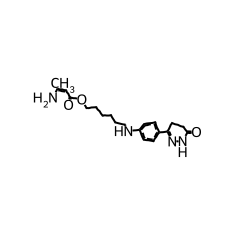 C/C(N)=C/C(=O)OCCCCCCNc1ccc(C2=NNC(=O)CC2)cc1